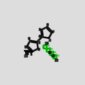 C1=CCC(C2=CC=CC2)=C1.[Cl-].[Cl-].[Cl-].[Cl-].[Ti+4]